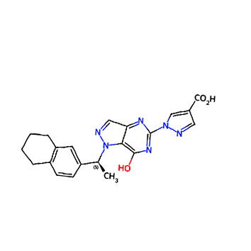 C[C@@H](c1ccc2c(c1)CCCC2)n1ncc2nc(-n3cc(C(=O)O)cn3)nc(O)c21